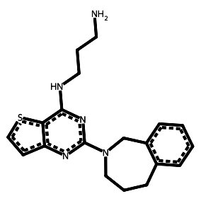 NCCCNc1nc(N2CCCc3ccccc3C2)nc2ccsc12